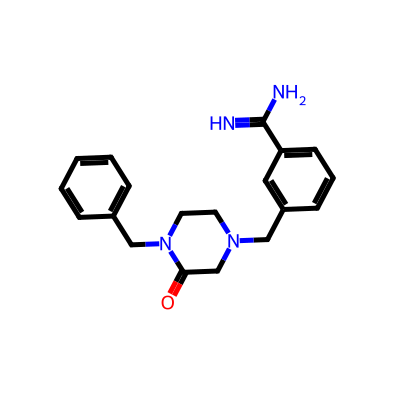 N=C(N)c1cccc(CN2CCN(Cc3ccccc3)C(=O)C2)c1